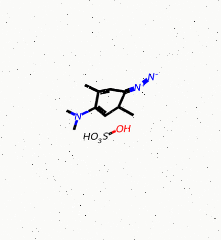 CC1=CC(=[N+]=[N-])C(C)C=C1N(C)C.O=S(=O)(O)O